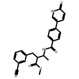 COC(=O)C(Cc1cccc(C#N)c1)C(C)NC(=O)c1ccc(-c2ccc(=O)[nH]c2)cc1